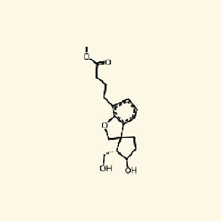 COC(=O)CCCc1cccc2c1OCC21CC[C@@H](O)[C@@H]1CO